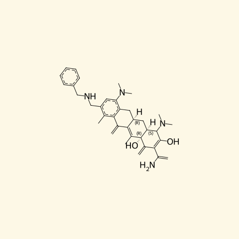 C=C(N)C1=C(O)C(N(C)C)[C@@H]2C[C@@H]3Cc4c(N(C)C)cc(CNCc5ccccc5)c(C)c4C(=C)C3=C(C)[C@]2(O)C1=C